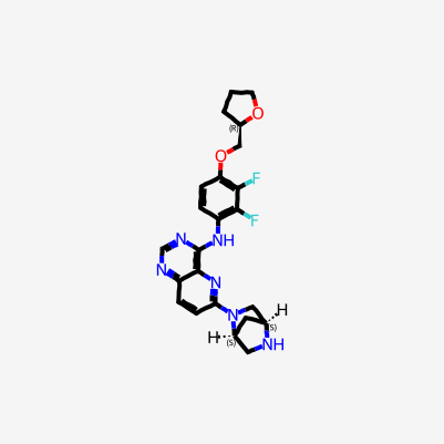 Fc1c(Nc2ncnc3ccc(N4C[C@@H]5C[C@H]4CN5)nc23)ccc(OC[C@H]2CCCO2)c1F